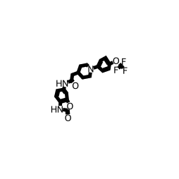 O=C(CC1CCN(c2ccc(OC(F)(F)F)cc2)CC1)Nc1ccc2[nH]c(=O)oc2c1